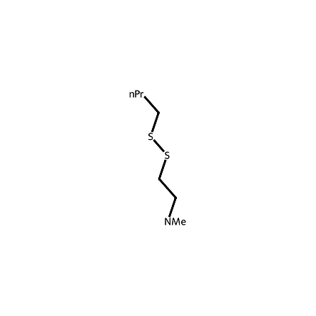 CCCCSSCCNC